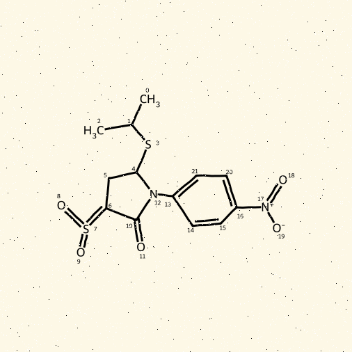 CC(C)SC1CC(=S(=O)=O)C(=O)N1c1ccc([N+](=O)[O-])cc1